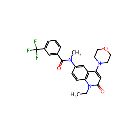 CCn1c(=O)cc(N2CCOCC2)c2cc(N(C)C(=O)c3cccc(C(F)(F)F)c3)ccc21